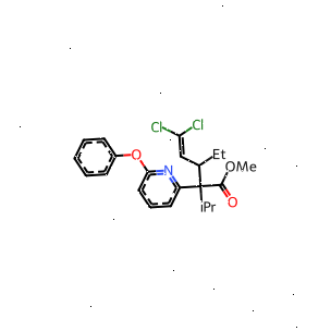 CCC(C=C(Cl)Cl)C(C(=O)OC)(c1cccc(Oc2ccccc2)n1)C(C)C